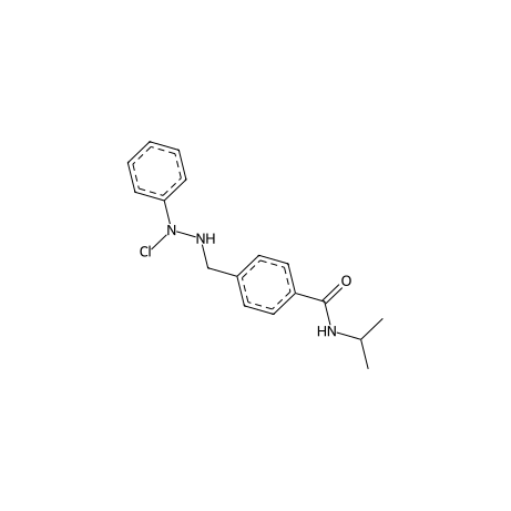 CC(C)NC(=O)c1ccc(CNN(Cl)c2ccccc2)cc1